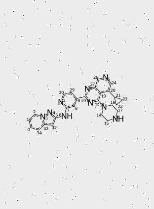 c1ccn2nc(Nc3cc(-c4nc(N5CCNCC5)c5c(C6CC6)cncc5n4)ccn3)cc2c1